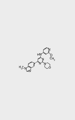 COc1cc(Nc2cc(-c3ccc4c(c3)ncn4C)nc(N3CCOCC3)n2)ccn1